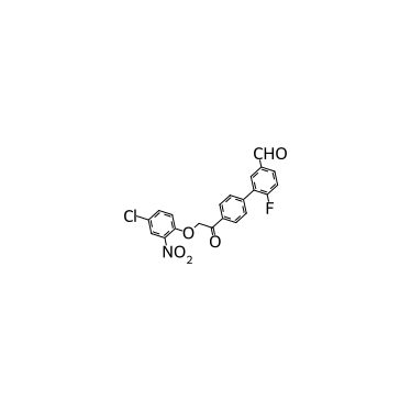 O=Cc1ccc(F)c(-c2ccc(C(=O)COc3ccc(Cl)cc3[N+](=O)[O-])cc2)c1